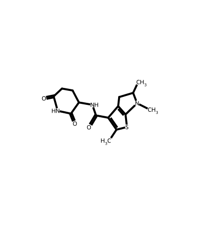 Cc1sc2c(c1C(=O)NC1CCC(=O)NC1=O)CC(C)N2C